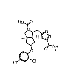 CNC(=O)c1cc(CC2[C@H]3C[C@@H](Oc4ccc(Cl)cc4Cl)C[C@H]3CN2C(=O)O)on1